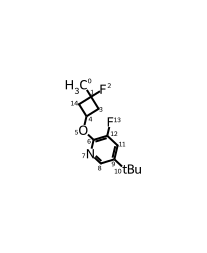 CC1(F)CC(Oc2ncc(C(C)(C)C)cc2F)C1